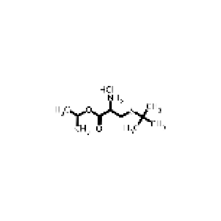 CC(C)OC(=O)C(N)CSC(C)(C)C.Cl